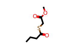 CCCC(=O)SCC(=O)OC